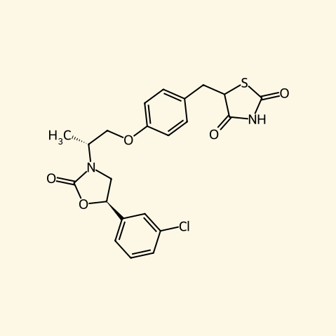 C[C@H](COc1ccc(CC2SC(=O)NC2=O)cc1)N1C[C@@H](c2cccc(Cl)c2)OC1=O